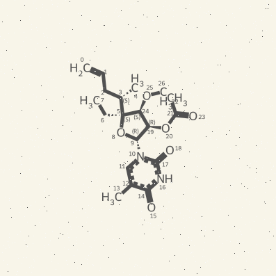 C=CC[C@H](C)[C@]1(CC)O[C@@H](n2cc(C)c(=O)[nH]c2=O)[C@H](OC(C)=O)[C@@H]1OC